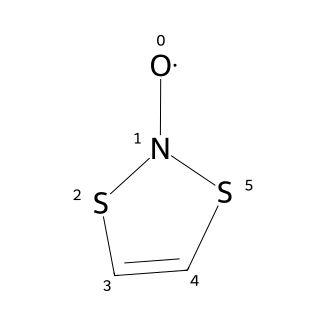 [O]N1SC=CS1